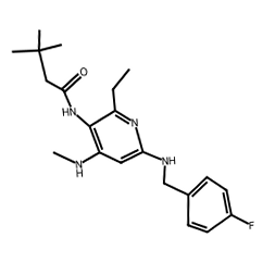 CCc1nc(NCc2ccc(F)cc2)cc(NC)c1NC(=O)CC(C)(C)C